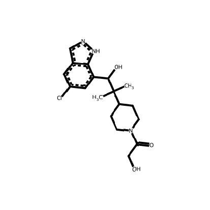 CC(C)(C1CCN(C(=O)CO)CC1)C(O)c1cc(Cl)cc2cn[nH]c12